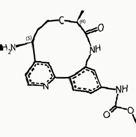 COC(=O)Nc1ccc2c(c1)NC(=O)[C@H](C)CCC[C@H](N)c1ccnc-2c1